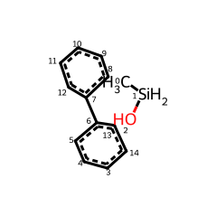 C[SiH2]O.c1ccc(-c2ccccc2)cc1